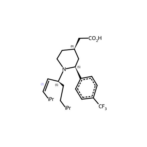 CC(C)/C=C\[C@H](CCC(C)C)N1CC[C@@H](CC(=O)O)C[C@H]1c1ccc(C(F)(F)F)cc1